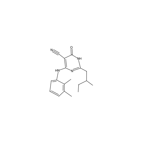 CCC(C)Cc1nc(Nc2cccc(C)c2C)c(C#N)c(=O)[nH]1